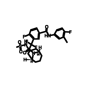 Cc1cc(NC(=O)c2ccc(F)c(C(F)(F)C(=O)N3[C@@H]4CCC[C@H]3CC(NS(C)(=O)=O)C4)c2)ccc1F